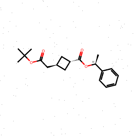 C[C@H](OC(=O)[C@H]1C[C@H](CC(=O)OC(C)(C)C)C1)c1ccccc1